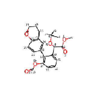 COC(=O)C(OC(C)(C)C)c1cccc(OC=O)c1-c1ccc2c(c1)CCCO2